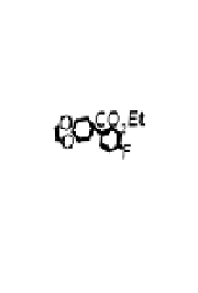 CCOC(=O)C1(c2ccc(F)cc2)CCC2(CC1)OCCO2